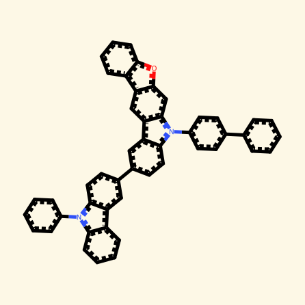 c1ccc(-c2ccc(-n3c4ccc(-c5ccc6c(c5)c5ccccc5n6-c5ccccc5)cc4c4cc5c(cc43)oc3ccccc35)cc2)cc1